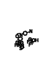 N#Cc1ccc(N2CCOc3cc(S(=O)(=O)Nc4nccs4)ccc32)cc1.O=C(O)C(F)(F)F